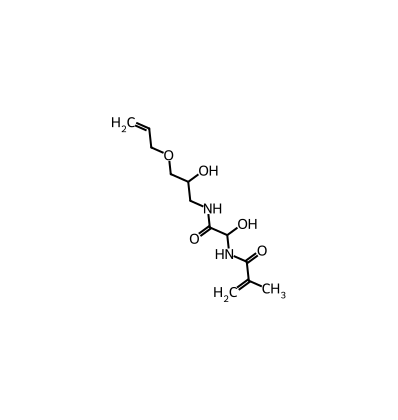 C=CCOCC(O)CNC(=O)C(O)NC(=O)C(=C)C